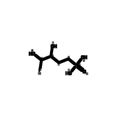 O=P(O)(O)CCC(O)C(O)F